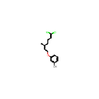 CC(=CCOc1cccc(C#N)c1)CCC=C(Cl)Cl